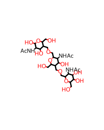 CC(=O)NC1C(O)OC(CO)C(COCC2OC(CO)C(COCC3OC(CO)C(O)C(O)C3NC(C)=O)C(O)C2NC(C)=O)C1O